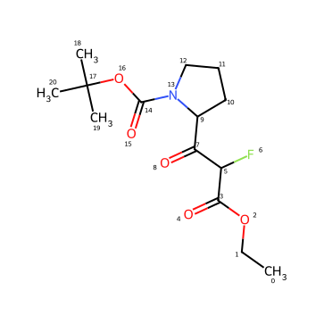 CCOC(=O)C(F)C(=O)C1CCCN1C(=O)OC(C)(C)C